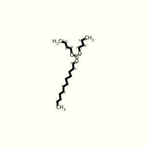 CCCCCCCCCCCCOP(OCCCC)OCCCC